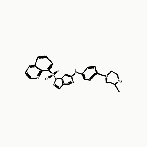 CC1CN(c2ccc(Nc3cc4c(cn3)cnn4S(=O)(=O)c3cccc4cccnc34)cc2)CCN1